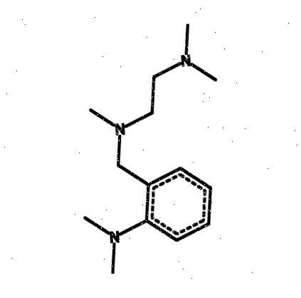 CN(C)CCN(C)Cc1ccccc1N(C)C